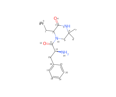 CC(C)CC1C(=O)NC(C)(C)CN1C(=O)[C@@H](N)Cc1ccccc1